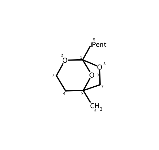 CCCC(C)C12OCCC(C)(CO1)O2